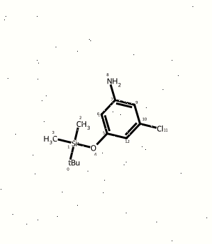 CC(C)(C)[Si](C)(C)Oc1cc(N)cc(Cl)c1